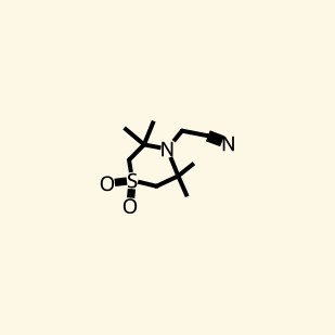 CC1(C)CS(=O)(=O)CC(C)(C)N1CC#N